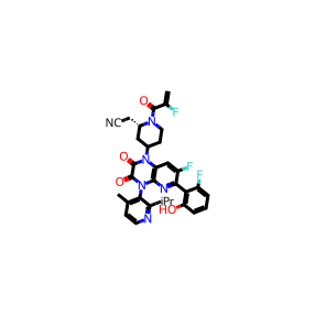 C=C(F)C(=O)N1CCC(n2c(=O)c(=O)n(-c3c(C)ccnc3C(C)C)c3nc(-c4c(O)cccc4F)c(F)cc32)C[C@@H]1CC#N